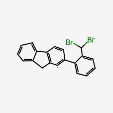 BrC(Br)c1ccccc1-c1[c]c2c(cc1)-c1ccccc1C2